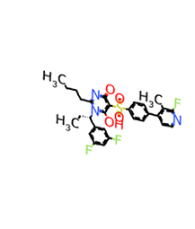 CCCCc1nc(=O)c(S(=O)(=O)c2ccc(-c3ccnc(F)c3C)cc2)c(O)n1[C@@H](CC)c1cc(F)cc(F)c1